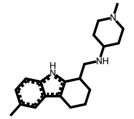 Cc1ccc2[nH]c3c(c2c1)CCCC3CNC1CCN(C)CC1